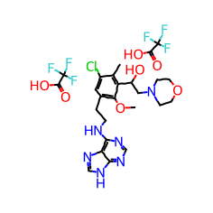 COc1c(CCNc2ncnc3[nH]cnc23)cc(Cl)c(C)c1C(O)CN1CCOCC1.O=C(O)C(F)(F)F.O=C(O)C(F)(F)F